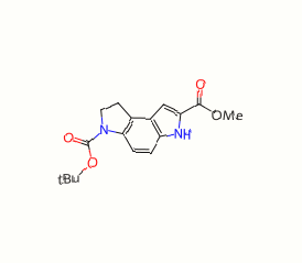 COC(=O)c1cc2c3c(ccc2[nH]1)N(C(=O)OC(C)(C)C)CC3